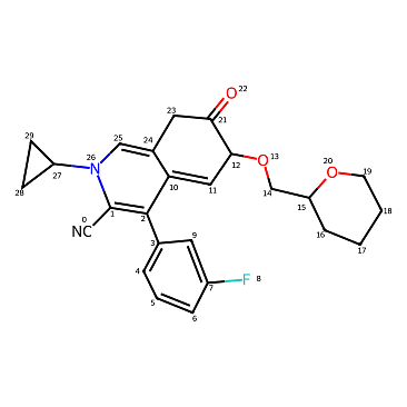 N#CC1=C(c2cccc(F)c2)C2=CC(OCC3CCCCO3)C(=O)CC2=CN1C1CC1